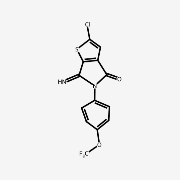 N=C1c2sc(Cl)cc2C(=O)N1c1ccc(OC(F)(F)F)cc1